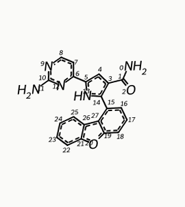 NC(=O)c1cc(-c2ccnc(N)n2)[nH]c1-c1cccc2oc3ccccc3c12